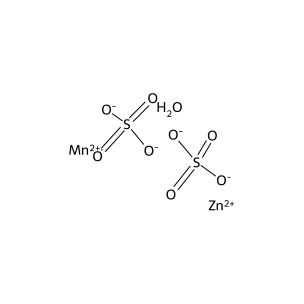 O.O=S(=O)([O-])[O-].O=S(=O)([O-])[O-].[Mn+2].[Zn+2]